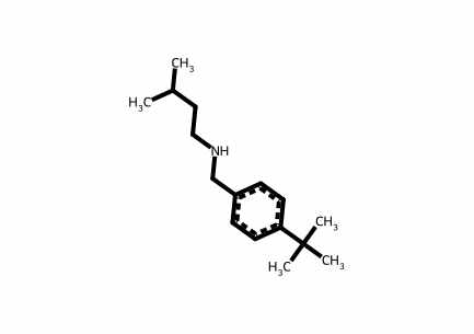 CC(C)CCNCc1ccc(C(C)(C)C)cc1